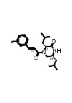 Cc1cccc(/C=C/C(=O)N2C[C@H](CC(C)C)NC(=O)[C@@H]2CC(C)C)c1